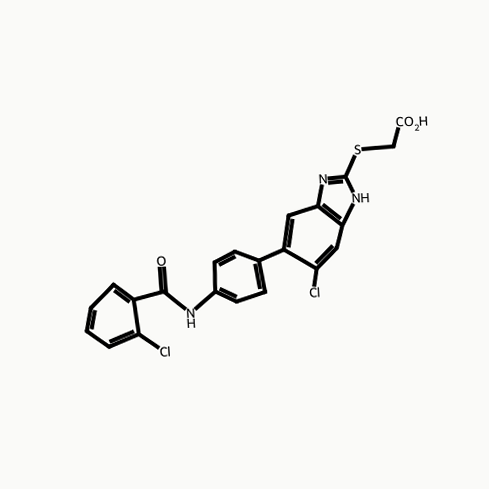 O=C(O)CSc1nc2cc(-c3ccc(NC(=O)c4ccccc4Cl)cc3)c(Cl)cc2[nH]1